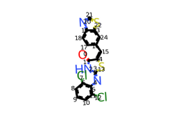 O=C1NC(=Nc2c(Cl)cccc2Cl)SC1=Cc1ccc2ncsc2c1